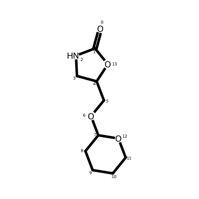 O=C1NCC(COC2CCCCO2)O1